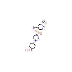 CCc1cc(C(F)(F)F)ncc1S(=O)(=O)N1CCN(C2CCC(C)(O)CC2)CC1